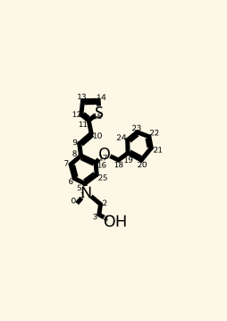 CN(CCO)c1ccc(C=Cc2cccs2)c(OCc2ccccc2)c1